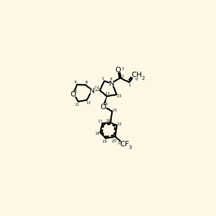 C=CC(=O)N1C[C@@H](N2CCOCC2)[C@H](OCc2cccc(C(F)(F)F)c2)C1